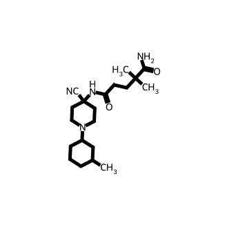 CC1CCCC(N2CCC(C#N)(NC(=O)[CH]CC(C)(C)C(N)=O)CC2)C1